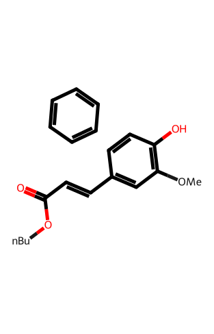 CCCCOC(=O)C=Cc1ccc(O)c(OC)c1.c1ccccc1